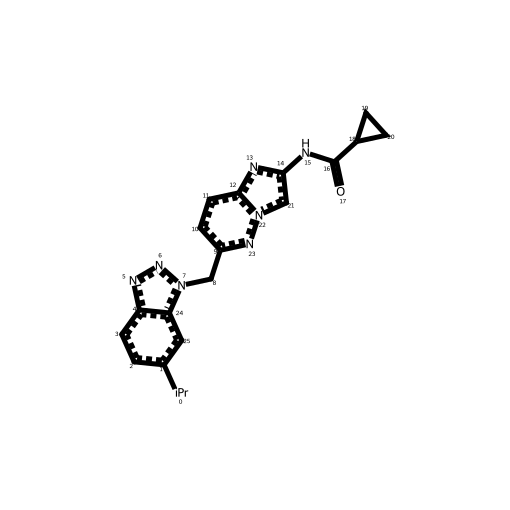 CC(C)c1ccc2nnn(Cc3ccc4nc(NC(=O)C5CC5)cn4n3)c2c1